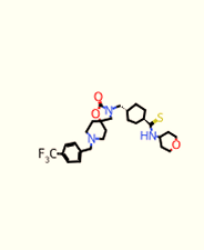 O=C1OC2(CCN(Cc3ccc(C(F)(F)F)cc3)CC2)CN1C[C@H]1CC[C@H](C(=S)NC2CCOCC2)CC1